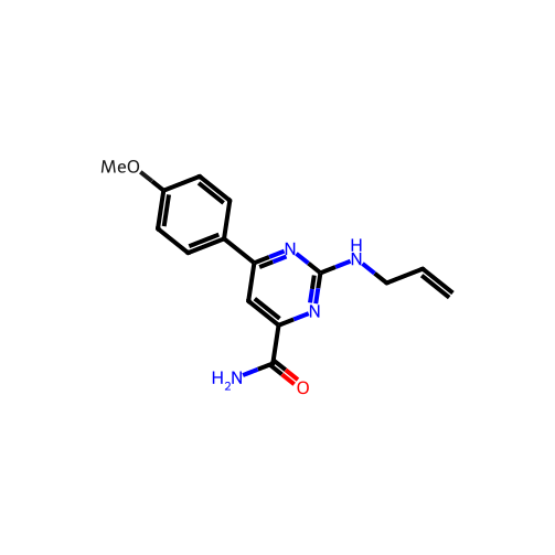 C=CCNc1nc(C(N)=O)cc(-c2ccc(OC)cc2)n1